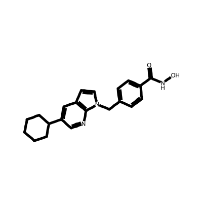 O=C(NO)c1ccc(Cn2ccc3cc(C4CCCCC4)cnc32)cc1